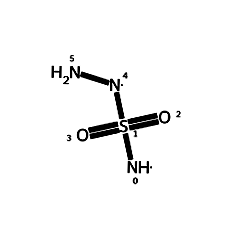 [NH]S(=O)(=O)[N]N